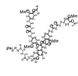 C=C(C)Oc1ccc(CCC(=O)CC(=O)CCc2ccc(OC(=O)CC(C(=O)Oc3ccc(CCC(=O)CC(=O)CCc4ccc(OC(=C)C)c(OC)c4)cc3OC)c3c(C)c(C)c4c(c3C)CCC(C)(CCCC(C)CCCC(C)CCCC(C)C)O4)c(OC)c2)cc1OC